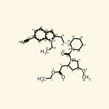 CCOC(=O)CC1CC(OC)CN1C(=O)N1CCCC[C@H]1CCc1cc2ccc(C#N)cc2n1CC